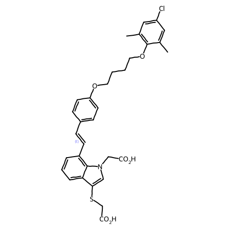 Cc1cc(Cl)cc(C)c1OCCCCOc1ccc(/C=C/c2cccc3c(SCC(=O)O)cn(CC(=O)O)c23)cc1